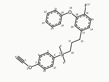 C#COc1ccc([Si](C)(C)CCCc2ccc(F)c(Oc3ccccc3)c2)cc1